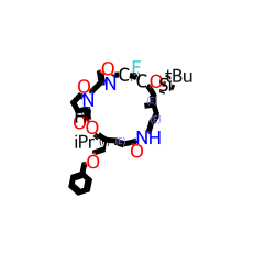 CC1=C\C(O[Si](C)(C)C(C)(C)C)C[C@@H](F)Cc2nc(co2)C(=O)N2CCC[C@@H]2C(=O)OC(C(C)C)[C@H](CCOCc2ccccc2)/C=C/C(=O)NC\C=C\1